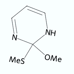 COC1(SC)N=CC=CN1